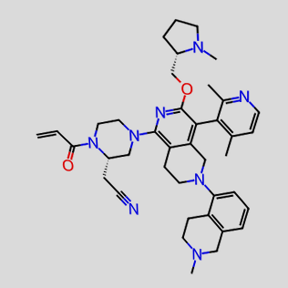 C=CC(=O)N1CCN(c2nc(OC[C@@H]3CCCN3C)c(-c3c(C)ccnc3C)c3c2CCN(c2cccc4c2CCN(C)C4)C3)C[C@@H]1CC#N